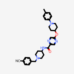 Cc1ccc(N2CCC(Oc3cnc(C(=O)NC4CCN(Cc5ccc(C#N)cc5)CC4)cn3)CC2)cc1